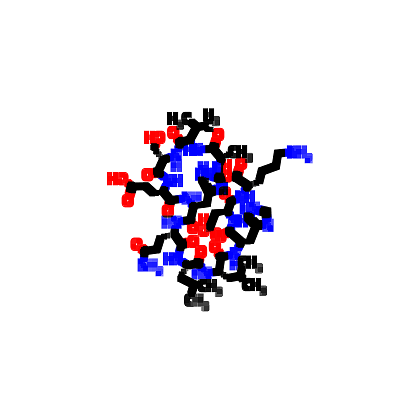 CC(C)C[C@H](NC(=O)[C@H](CC(C)C)NC(=O)[C@H](CCC(N)=O)NC(=O)[C@H](Cc1c[nH]cn1)NC(=O)[C@H](CCC(=O)O)NC(=O)[C@H](CO)NC(=O)[C@@H](NC(=O)[C@H](C)N)C(C)C)C(=O)N[C@@H](Cc1c[nH]cn1)C(=O)N[C@@H](CC(=O)O)C(=O)N[C@@H](CCCCN)C(=O)O